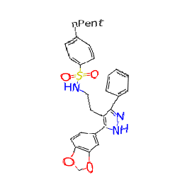 CCCCCc1ccc(S(=O)(=O)NCCc2c(-c3ccccc3)n[nH]c2-c2ccc3c(c2)OCO3)cc1